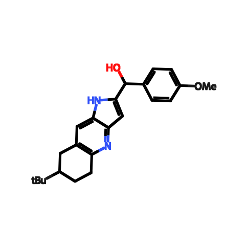 COc1ccc(C(O)c2cc3nc4c(cc3[nH]2)CC(C(C)(C)C)CC4)cc1